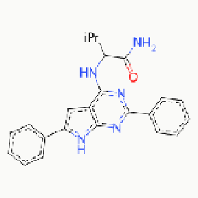 CC(C)C(Nc1nc(-c2ccccc2)nc2[nH]c(-c3ccccc3)cc12)C(N)=O